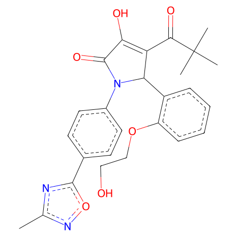 Cc1noc(-c2ccc(N3C(=O)C(O)=C(C(=O)C(C)(C)C)C3c3ccccc3OCCO)cc2)n1